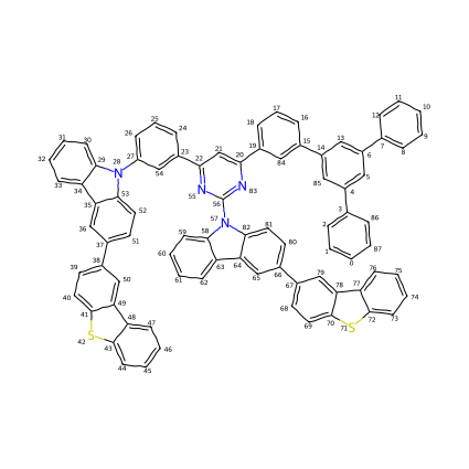 c1ccc(-c2cc(-c3ccccc3)cc(-c3cccc(-c4cc(-c5cccc(-n6c7ccccc7c7cc(-c8ccc9sc%10ccccc%10c9c8)ccc76)c5)nc(-n5c6ccccc6c6cc(-c7ccc8sc9ccccc9c8c7)ccc65)n4)c3)c2)cc1